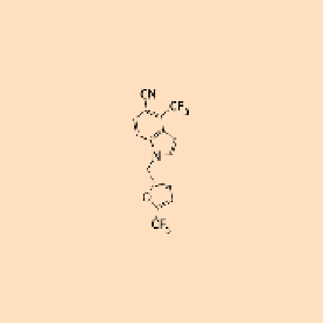 N#Cc1ccc2c(ccn2Cc2ccc(C(F)(F)F)o2)c1C(F)(F)F